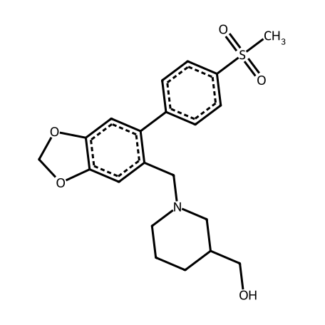 CS(=O)(=O)c1ccc(-c2cc3c(cc2CN2CCCC(CO)C2)OCO3)cc1